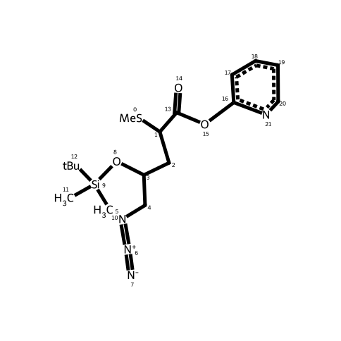 CSC(CC(CN=[N+]=[N-])O[Si](C)(C)C(C)(C)C)C(=O)Oc1ccccn1